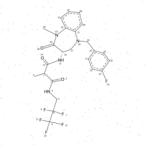 CC(C(=O)NCC(F)(F)C(F)(F)F)C(=O)N[C@H]1CN(Cc2ccc(F)cc2)c2ccccc2N(C)C1=O